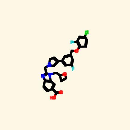 O=C(O)c1ccc2nc(CN3CC=C(c4cc(F)cc(COc5ccc(Cl)cc5F)c4)C3)n(CC3CCO3)c2c1